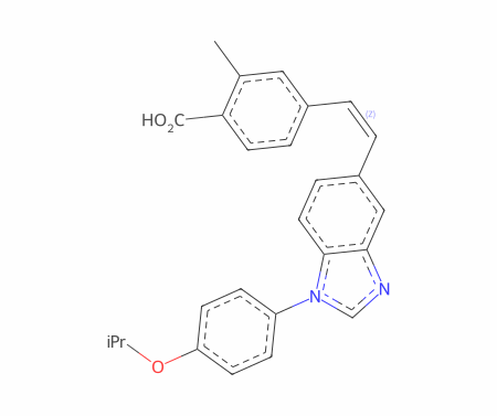 Cc1cc(/C=C\c2ccc3c(c2)ncn3-c2ccc(OC(C)C)cc2)ccc1C(=O)O